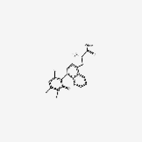 COC(=O)[C@@H](N)Cc1ccc(-c2c(Cl)cc(C)n(C)c2=O)c2ncccc12